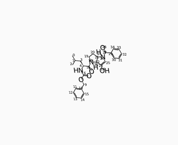 CC(C)C[C@H](NC(=O)OCc1ccccc1)C(=O)N1CC[C@@H]2[C@H]1C(O)=CN2C(=O)c1ccccc1